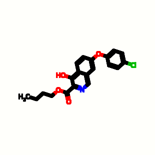 CCCCOC(=O)c1ncc2cc(Oc3ccc(Cl)cc3)ccc2c1O